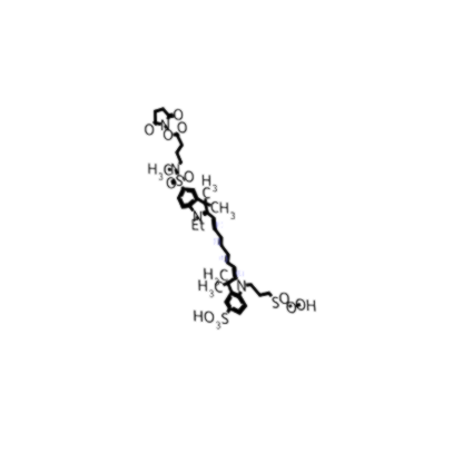 CC[N+]1=C(/C=C/C=C/C=C/C=C2/N(CCCSOOO)c3ccc(S(=O)(=O)O)cc3C2(C)C)C(C)(C)c2cc(S(=O)(=O)N(C)CCCC(=O)ON3C(=O)CCC3=O)ccc21